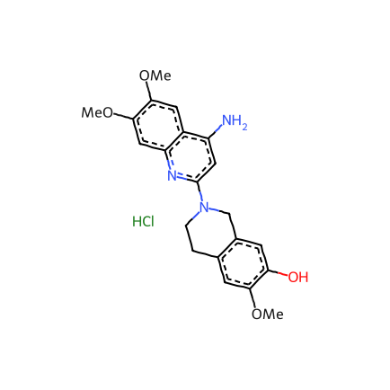 COc1cc2c(cc1O)CN(c1cc(N)c3cc(OC)c(OC)cc3n1)CC2.Cl